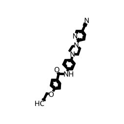 C#CCOc1ccc(C(=O)Nc2ccc(N3CCN(c4ccc(C#N)cn4)CC3)cc2)cc1